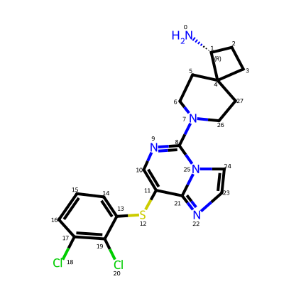 N[C@@H]1CCC12CCN(c1ncc(Sc3cccc(Cl)c3Cl)c3nccn13)CC2